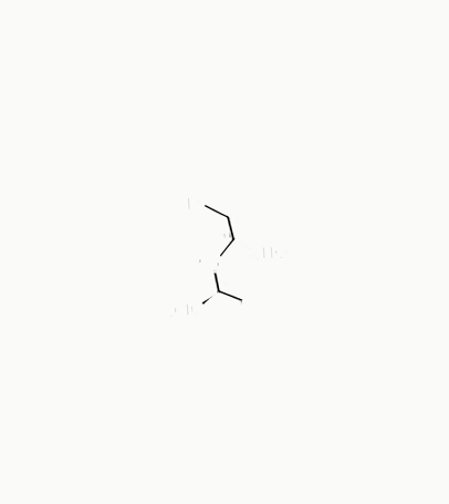 CC(C)C[C@H](C=O)O[C@@H](C)C=O